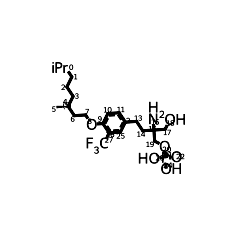 CC(C)CCC[C@H](C)CCOc1ccc(CCC(N)(CO)COP(=O)(O)O)cc1C(F)(F)F